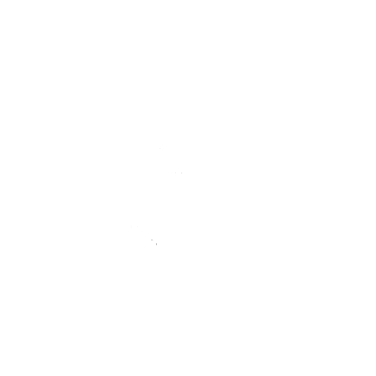 Cc1onc(-c2ccccc2Cl)c1OC(=O)Cl